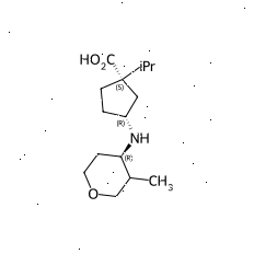 CC1COCC[C@H]1N[C@@H]1CC[C@@](C(=O)O)(C(C)C)C1